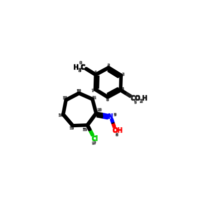 Cc1ccc(C(=O)O)cc1.ON=C1CCCCCC1Cl